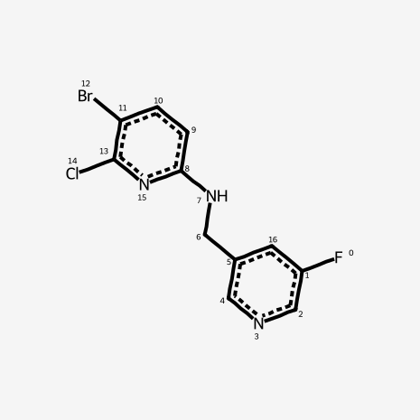 Fc1cncc(CNc2ccc(Br)c(Cl)n2)c1